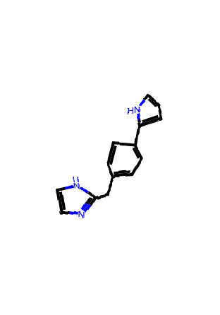 c1c[nH]c(-c2ccc(Cc3ncc[nH]3)cc2)c1